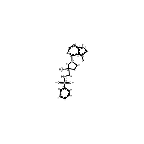 Cc1c[nH]c2ncnc(N3CCC(N)(CNS(=O)(=O)c4ccccc4)C3)c12